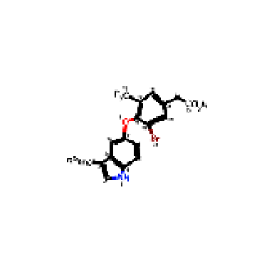 CCCCCc1c[nH]c2ccc(Oc3c(Br)cc(CC(=O)O)cc3C(F)(F)F)cc12